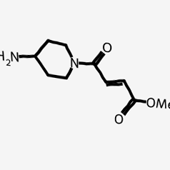 COC(=O)/C=C/C(=O)N1CCC(N)CC1